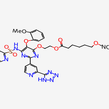 COc1ccccc1Oc1c(NS(=O)(=O)c2ccc(C)cn2)nc(-c2ccnc(-c3nnn[nH]3)c2)nc1OCCOC(=O)CCCCCO[N+](=O)[O-]